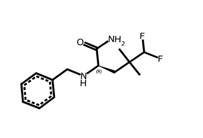 CC(C)(C[C@@H](NCc1ccccc1)C(N)=O)C(F)F